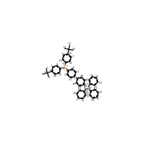 CC(C)(C)c1ccc([S+](c2ccccc2)c2ccc(C(C)(C)C)cc2)cc1.c1cc[c]([Ga-]([c]2ccccc2)([c]2ccccc2)[c]2ccccc2)cc1